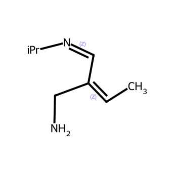 C/C=C(\C=N/C(C)C)CN